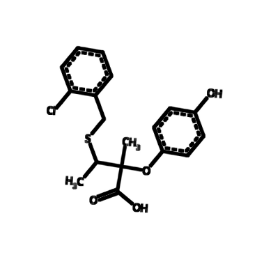 CC(SCc1ccccc1Cl)C(C)(Oc1ccc(O)cc1)C(=O)O